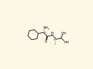 C[C@H](NC(=O)[C@@H](N)C1CCCCC1)B(O)O